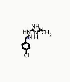 C=NNC(=N)N/N=C/c1ccc(Cl)cc1